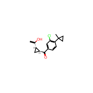 C=C(O)[C@H]1C[C@@H]1C(=O)c1ccc(C2(C)CC2)c(Cl)c1